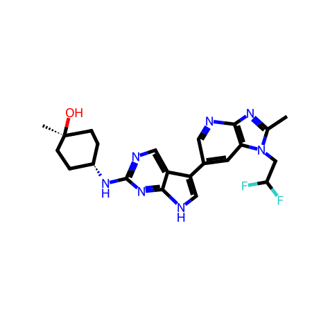 Cc1nc2ncc(-c3c[nH]c4nc(N[C@H]5CC[C@](C)(O)CC5)ncc34)cc2n1CC(F)F